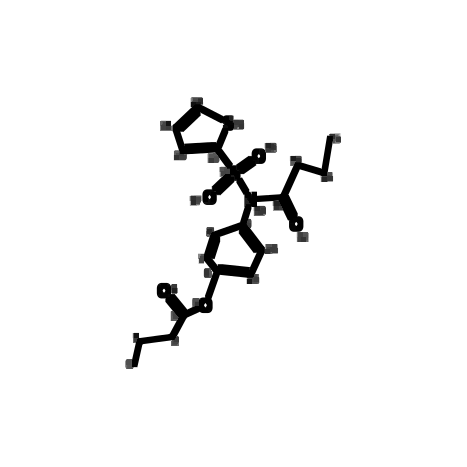 CCCC(=O)Oc1ccc(N(C(=O)CCC)S(=O)(=O)c2cccs2)cc1